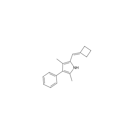 Cc1[nH]c(C=C2CCC2)c(C)c1-c1ccccc1